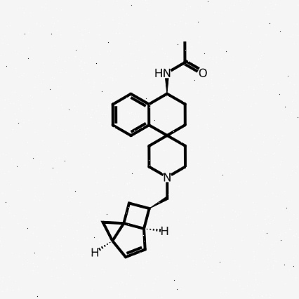 CC(=O)N[C@H]1CCC2(CCN(C[C@@H]3CC45C[C@@H]4C=C[C@H]35)CC2)c2ccccc21